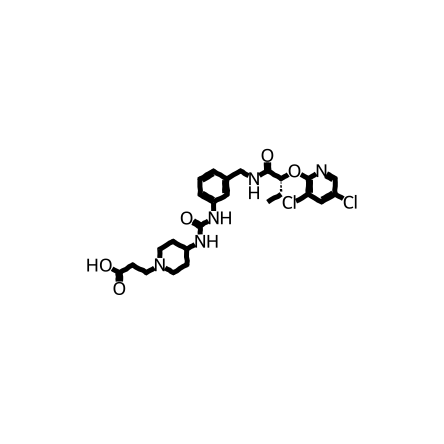 CC[C@@H](Oc1ncc(Cl)cc1Cl)C(=O)NCc1cccc(NC(=O)NC2CCN(CCC(=O)O)CC2)c1